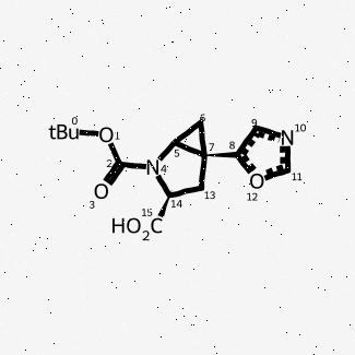 CC(C)(C)OC(=O)N1C2C[C@]2(c2cnco2)C[C@H]1C(=O)O